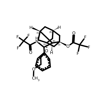 COCCO[C@@]12C[C@H]3C[C@@H](C1)[C@H](C(NC(=O)C(F)(F)F)c1ccccc1)[C@](OC(=O)C(F)(F)F)(C3)C2